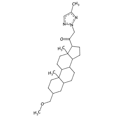 COCC1CCC2(C)C(CCC3C2CCC2(C)C(C(=O)Cn4ncc(C)n4)CCC32)C1